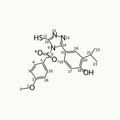 COc1ccc(S(=O)(=O)n2c(S)nnc2-c2ccc(O)c(C(C)C)c2)cc1